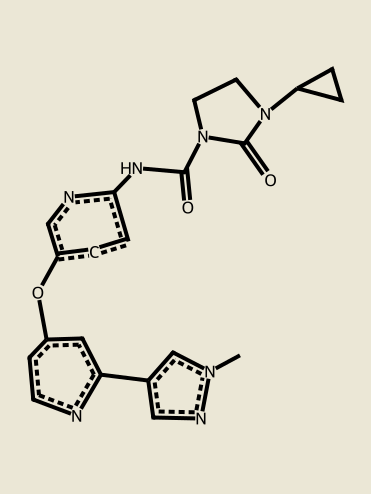 Cn1cc(-c2cc(Oc3ccc(NC(=O)N4CCN(C5CC5)C4=O)nc3)ccn2)cn1